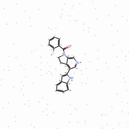 O=C(c1ccccc1F)N1CCc2c(-c3cc4ccccc4[nH]3)cncc21